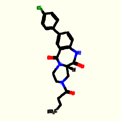 O=C(O)CCC(=O)N1CCN2C(=O)c3cc(-c4ccc(Cl)cc4)ccc3NC(=O)[C@@H]2C1